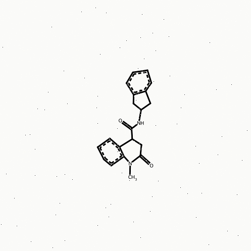 CN1C(=O)CC(C(=O)NC2Cc3ccccc3C2)c2ccccc21